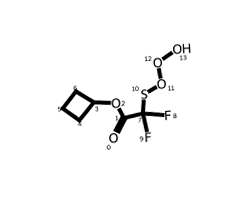 O=C(OC1CCC1)C(F)(F)SOOO